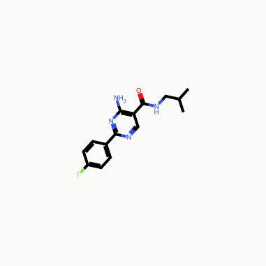 CC(C)CNC(=O)c1cnc(-c2ccc(F)cc2)nc1N